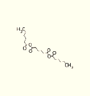 CCCCCC(=O)OC(=O)CCCCC(=O)OC(=O)CCCCC